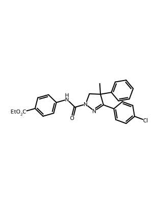 CCOC(=O)c1ccc(NC(=O)N2CC(C)(c3ccccc3)C(c3ccc(Cl)cc3)=N2)cc1